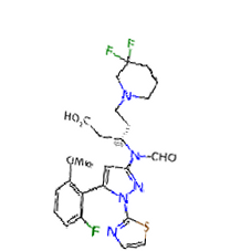 COc1cccc(F)c1-c1cc(N(C=O)[C@@H](CCN2CCCC(F)(F)C2)CC(=O)O)nn1-c1nccs1